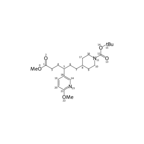 COC(=O)CCC(CCC1CCN(C(=O)OC(C)(C)C)CC1)c1ccc(OC)nc1